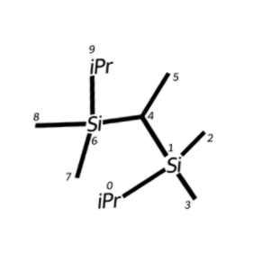 CC(C)[Si](C)(C)C(C)[Si](C)(C)C(C)C